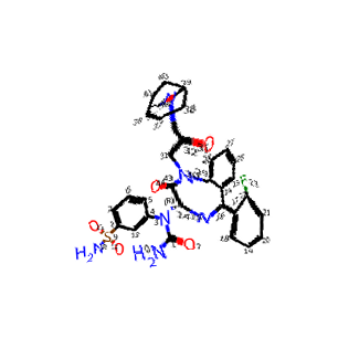 NC(=O)N(c1cccc(S(N)(=O)=O)c1)[C@H]1N=C(c2ccccc2F)c2ccccc2N(CC(=O)N2CC3CCC(CC3)C2)C1=O